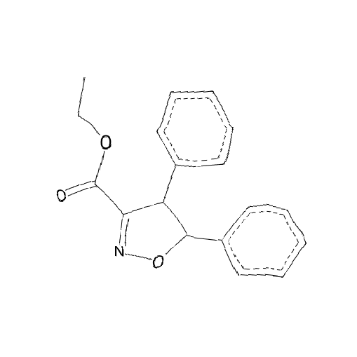 CCOC(=O)C1=NOC(c2ccccc2)C1c1ccccc1